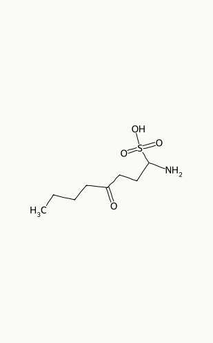 CCCCC(=O)CCC(N)S(=O)(=O)O